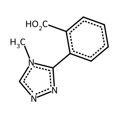 Cn1cnnc1-c1ccccc1C(=O)O